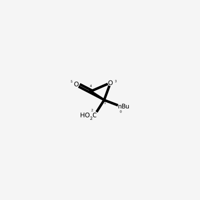 CCCCC1(C(=O)O)OC1=O